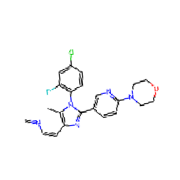 C=N/C=C\c1nc(-c2ccc(N3CCOCC3)nc2)n(-c2ccc(Cl)cc2F)c1C